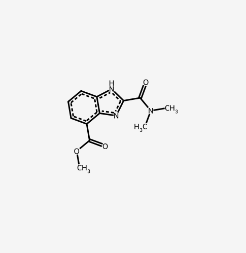 COC(=O)c1cccc2[nH]c(C(=O)N(C)C)nc12